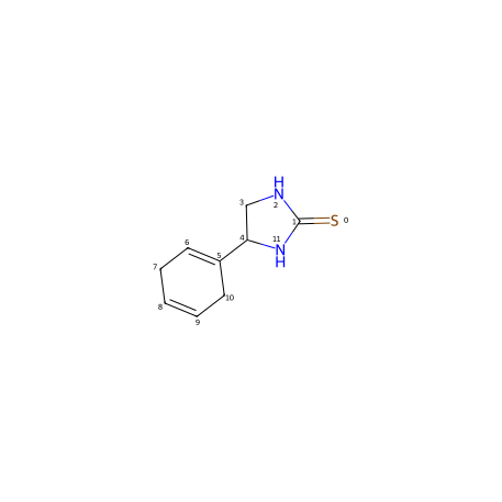 S=C1NCC(C2=CCC=CC2)N1